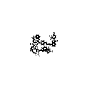 CN1CC[C@H]2CC[C@@H](C(=O)N[C@@H](CCC(N)=O)C(=O)N[C@@H](Cc3cccc(F)c3)C(=O)N3CCC(CCC#Cc4cccc5c4CN(C4CCC(=O)NC4=O)C5=O)CC3)N2C(=O)[C@@H](NC(=O)c2cc3cc(C(F)(F)P(=O)(O)O)ccc3s2)C1